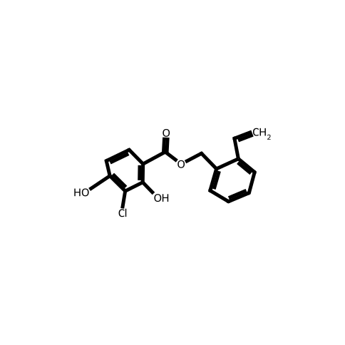 C=Cc1ccccc1COC(=O)c1ccc(O)c(Cl)c1O